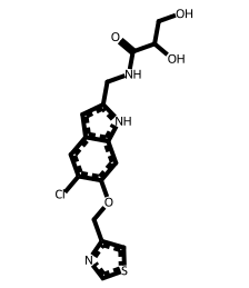 O=C(NCc1cc2cc(Cl)c(OCc3cscn3)cc2[nH]1)C(O)CO